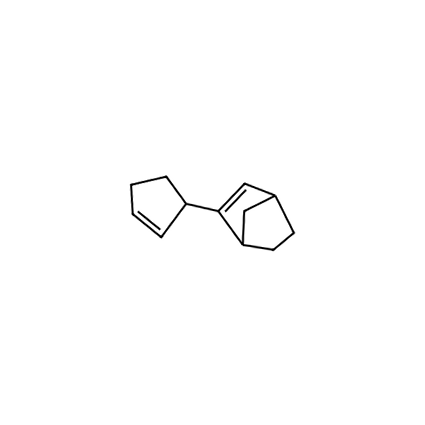 C1=CC(C2=CC3CCC2C3)CC1